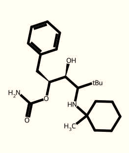 CC1(NC([C@H](O)[C@H](Cc2ccccc2)OC(N)=O)C(C)(C)C)CCCCC1